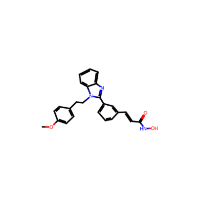 COc1ccc(CCn2c(-c3cccc(C=CC(=O)NO)c3)nc3ccccc32)cc1